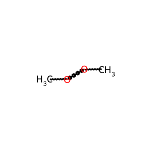 CCCCCCCCCCCCCOc1ccc(-c2ccc(-c3ccc(-c4ccc(OCCCCCCCCCCCCC)cc4)cc3)cc2)cc1